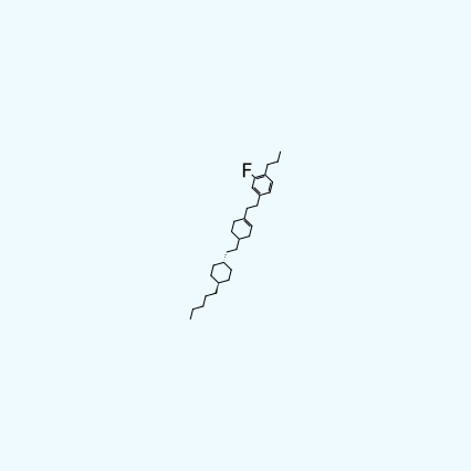 CCCCC[C@H]1CC[C@H](CCC2CC=C(CCc3ccc(CCC)c(F)c3)CC2)CC1